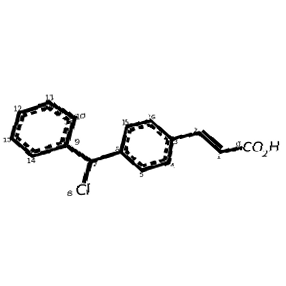 O=C(O)C=Cc1ccc(C(Cl)c2ccccc2)cc1